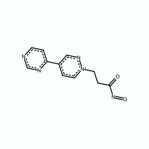 O=NC(=O)CC[n+]1ccc(-c2ccncn2)cn1